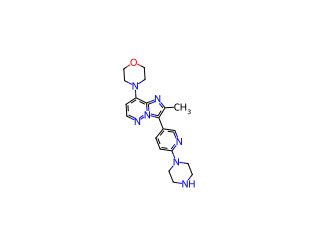 Cc1nc2c(N3CCOCC3)ccnn2c1-c1ccc(N2CCNCC2)nc1